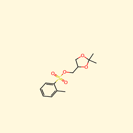 Cc1ccccc1S(=O)(=O)OCC1COC(C)(C)O1